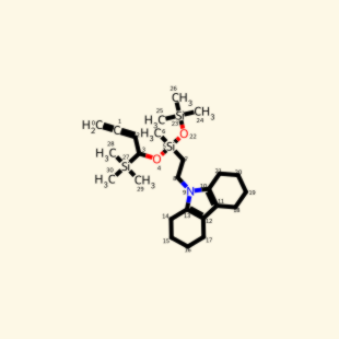 C=C=CC(O[Si](C)(CCn1c2c(c3c1CCCC3)CCCC2)O[Si](C)(C)C)[Si](C)(C)C